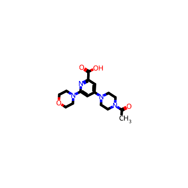 CC(=O)N1CCN(c2cc(C(=O)O)nc(N3CCOCC3)c2)CC1